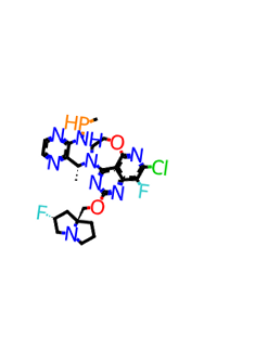 CPNc1nccnc1[C@@H](C)N1CCOc2nc(Cl)c(F)c3nc(OC[C@@]45CCCN4C[C@H](F)C5)nc1c23